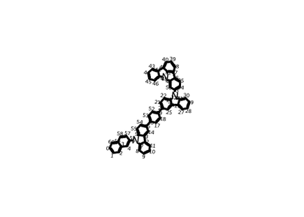 c1ccc2cc(-n3c4ccccc4c4cc(-c5ccc(-c6ccc7c(c6)c6ccccc6n7-c6ccc7c8cccc9c%10ccccc%10n(c7c6)c98)cc5)ccc43)ccc2c1